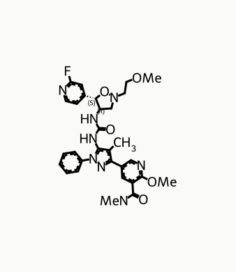 CNC(=O)c1cc(-c2nn(-c3ccccc3)c(NC(=O)N[C@@H]3CN(CCOC)O[C@H]3c3ccnc(F)c3)c2C)cnc1OC